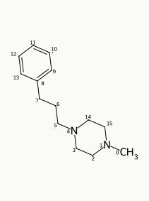 CN1CCN(CCCc2c[c]ccc2)CC1